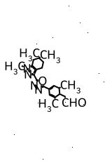 CC1=CC(c2nnc(-c3nn(C)c4c3CCC(C)(C)C4)o2)=CC(C)C1CC=O